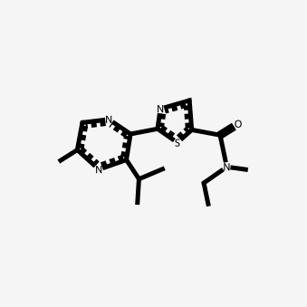 CCN(C)C(=O)c1cnc(-c2ncc(C)nc2C(C)C)s1